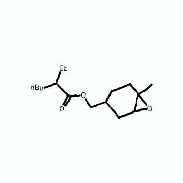 CCCCC(CC)C(=O)OCC1CCC2(C)OC2C1